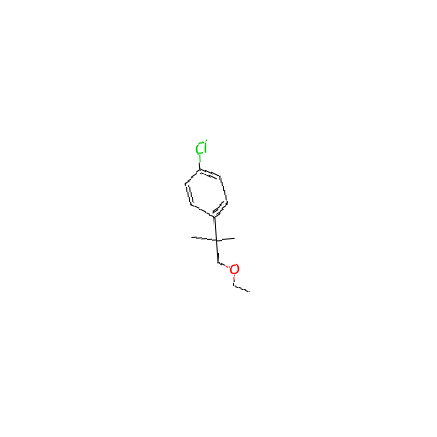 CCOCC(C)(C)c1ccc(Cl)cc1